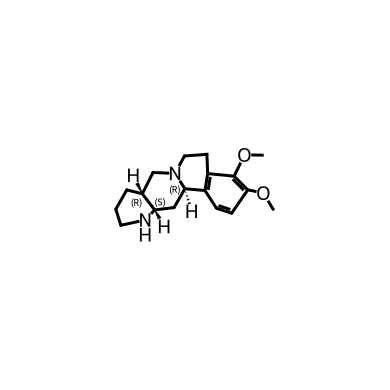 COc1ccc2c(c1OC)CCN1C[C@H]3CCCN[C@H]3C[C@H]21